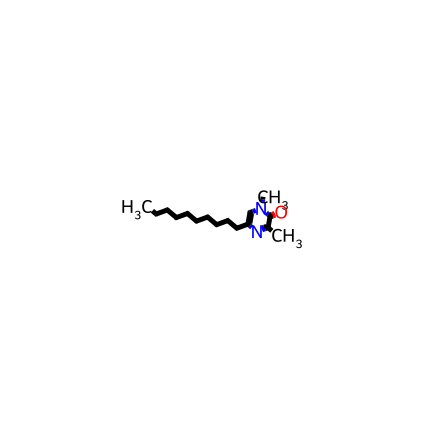 CCCCCCCCCCc1cn(C)c(=O)c(C)n1